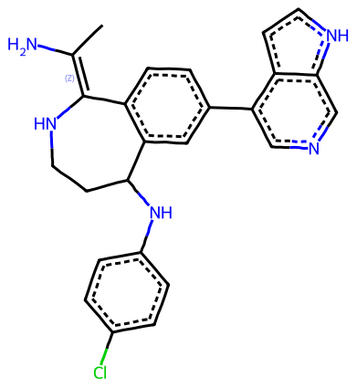 C/C(N)=C1/NCCC(Nc2ccc(Cl)cc2)c2cc(-c3cncc4[nH]ccc34)ccc21